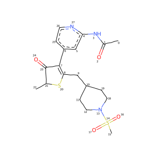 CC(=O)Nc1cc(C2=C(CC3CCN(S(C)(=O)=O)CC3)SC(C)C2=O)ccn1